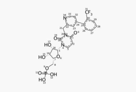 O=c1ccn([C@@H]2O[C@H](COP(=O)(O)O)[C@H](O)[C@@H]2O)c(=O)n1Cc1cc(-c2ccccc2C(F)(F)F)ccn1